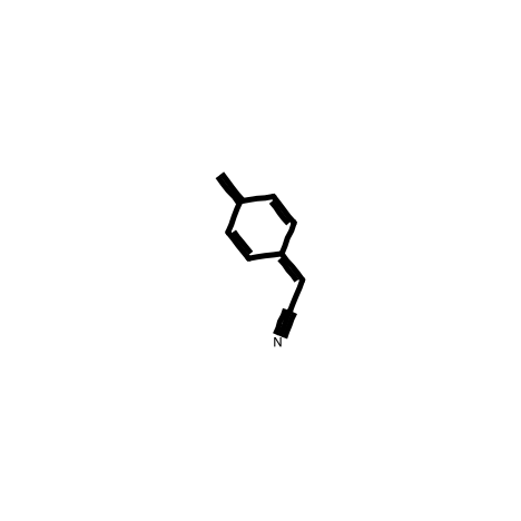 C=c1ccc(=CC#N)cc1